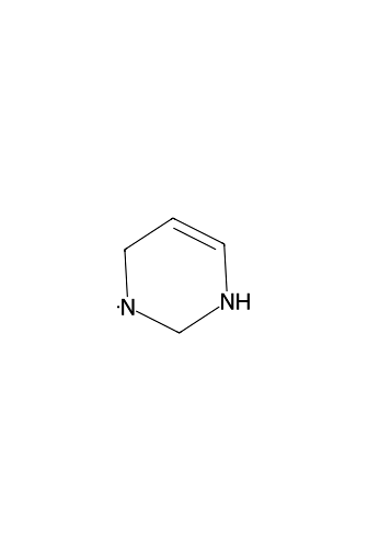 C1=CNC[N]C1